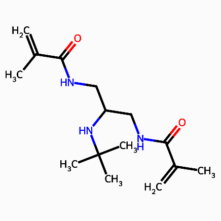 C=C(C)C(=O)NCC(CNC(=O)C(=C)C)NC(C)(C)C